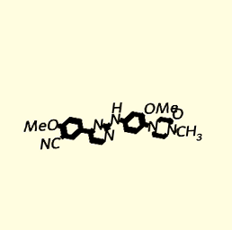 COc1ccc(-c2ccnc(Nc3ccc(N4CCN(C)C(=O)C4)c(OC)c3)n2)cc1C#N